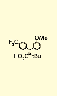 COc1cccc(C(c2ccc(C(F)(F)F)cc2)[C@H](C(=O)O)C(C)(C)C)c1